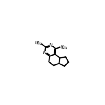 CC(C)(C)c1nc2c(c(C(C)(C)C)n1)C1CCCC1CC2